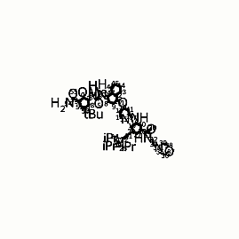 COc1c(NC(=O)Nc2ccc(Oc3ccnc(Nc4cc(C#C[Si](C(C)C)(C(C)C)C(C)C)cc(C(=O)NCCN5CCOCC5)c4)c3)c3ccccc23)cc(C(C)(C)C)cc1C(N)=O